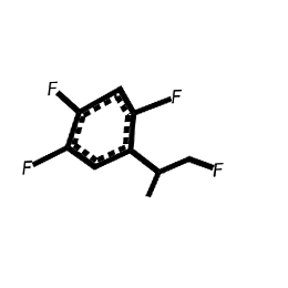 C[C](CF)c1cc(F)c(F)cc1F